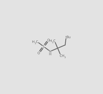 CC(C)(C)CC(C)(C)NS(C)(=O)=O